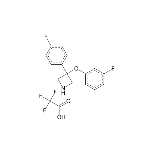 Fc1ccc(C2(Oc3cccc(F)c3)CNC2)cc1.O=C(O)C(F)(F)F